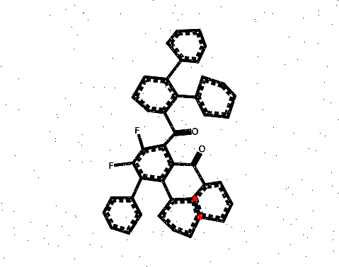 O=C(c1cccc(-c2ccccc2)c1-c1ccccc1)c1c(F)c(F)c(-c2ccccc2)c(-c2ccccc2)c1C(=O)c1ccccc1